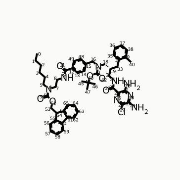 CCCCCCN(CCNC(=O)c1ccc(CN(C[C@@H](CNC(=O)c2nc(Cl)c(N)nc2N)Cc2ccccc2C)C(=O)OC(C)(C)C)cc1)C(=O)OCC1c2ccccc2-c2ccccc21